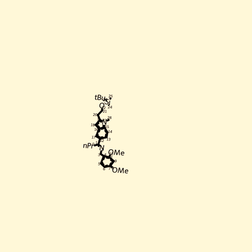 CCCC(=NCc1ccc(OC)cc1OC)c1ccc2c(c1)cc(CCO[Si](C)(C)C(C)(C)C)n2C